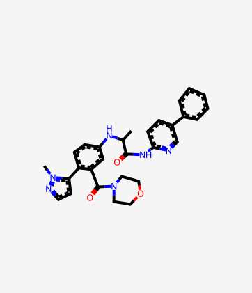 CC(Nc1ccc(-c2ccnn2C)c(C(=O)N2CCOCC2)c1)C(=O)Nc1ccc(-c2ccccc2)cn1